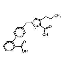 CCCc1cn(Cc2ccc(-c3ccccc3C(=O)O)cc2)nc1C(=O)O